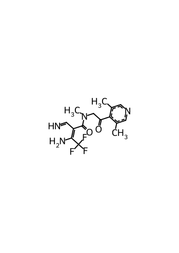 Cc1cncc(C)c1C(=O)CN(C)C(=O)/C(C=N)=C(/N)C(F)(F)F